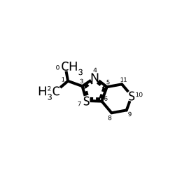 CC(C)c1nc2c(s1)CCSC2